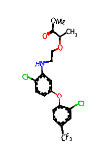 COC(=O)C(C)OCCNc1cc(Oc2ccc(C(F)(F)F)cc2Cl)ccc1Cl